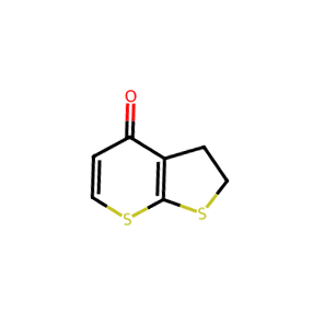 O=c1ccsc2c1CCS2